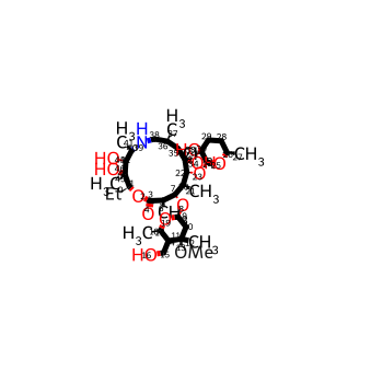 CC[C@H]1OC(=O)[C@H](C)[C@@H](O[C@H]2C[C@@](C)(OC)C(CO)[C@H](C)O2)[C@H](C)[C@@H](O[C@@H]2O[C@H](C)CC[C@H]2O)[C@](C)(O)C[C@@H](C)CN[C@H](C)[C@@H](O)[C@]1(C)O